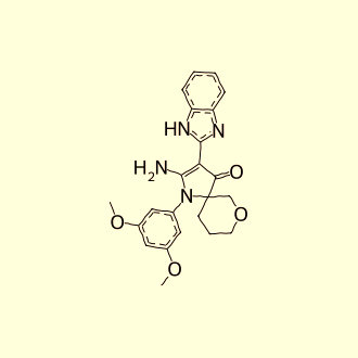 COc1cc(OC)cc(N2C(N)=C(c3nc4ccccc4[nH]3)C(=O)C23CCCOC3)c1